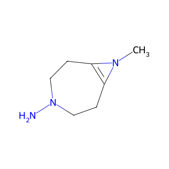 CN1C2=C1CCN(N)CC2